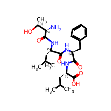 CC(C)C[C@H](NC(=O)[C@H](Cc1ccccc1)NC(=O)[C@H](CC(C)C)NC(=O)[C@@H](N)[C@@H](C)O)C(=O)O